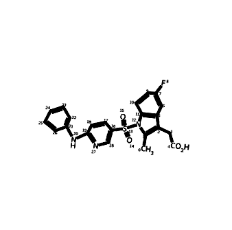 Cc1c(CC(=O)O)c2cc(F)ccc2n1S(=O)(=O)c1ccc(Nc2ccccc2)nc1